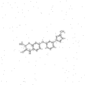 Cn1cc(-c2cc(Oc3cc4c(cn3)NC(=O)C(O)C4)ccn2)cn1